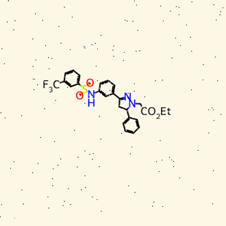 CCOC(=O)CN1N=C(c2cccc(NS(=O)(=O)c3cccc(C(F)(F)F)c3)c2)CC1c1ccccc1